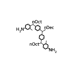 CCCCCCCCCCCC(c1ccc(C(CCCCCCCC)c2ccc(N)cc2C)cc1)c1ccc(C(CCCCCCCC)c2ccc(N)cc2C)cc1